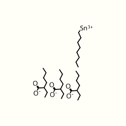 CCCCC(CC)C(=O)[O-].CCCCC(CC)C(=O)[O-].CCCCC(CC)C(=O)[O-].CCCCCCC[CH2][Sn+3]